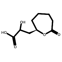 O=C1CCCC[C@H](CC(O)C(=O)O)O1